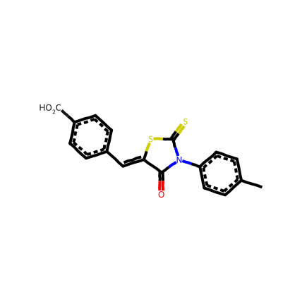 Cc1ccc(N2C(=O)/C(=C/c3ccc(C(=O)O)cc3)SC2=S)cc1